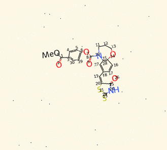 COC(=O)c1ccc(OC(=O)N2CCCOc3ccc(/C=C4/SC(=S)NC4=O)cc32)cc1